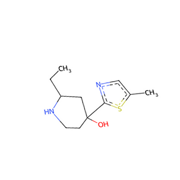 CCC1CC(O)(c2ncc(C)s2)CCN1